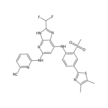 Cc1nc(-c2ccc(Nc3cc(Nc4cccc(C#N)n4)nc4[nH]c(C(F)F)nc34)c(S(C)(=O)=O)c2)sc1C